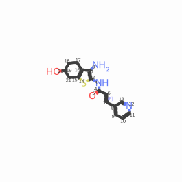 Nc1c(NC(=O)/C=C/c2cccnc2)sc2c1CCC(O)C2